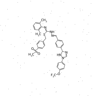 Cc1cccc(C)c1/N=C(/N/N=C/c1ccc(C2N=CN(c3ccc(OC(F)(F)F)cc3)N2)cc1)SCc1ccc(S(C)(=O)=O)cc1